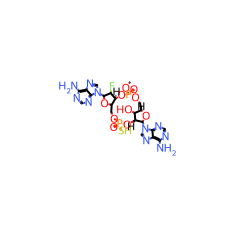 COP1(=O)OC[C@H]2OC(n3cnc4c(N)ncnc43)[C@@H](OP(=O)(S)OCC3OC(n4cnc5c(N)ncnc54)C(F)[C@H]3O1)C2O